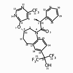 C[C@H](C(=O)N1C[C@@H](Oc2cc(C(F)(F)F)ncn2)CCc2cc(C(O)(C(F)(F)F)C(F)(F)F)ccc21)c1ccccc1